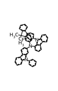 CC1(C)c2ccccc2-c2ccc(N(c3ccc4c5ccccc5n(-c5ccccc5)c4c3)c3cccc4c5ccccc5n(-c5cccc(F)c5)c34)cc21